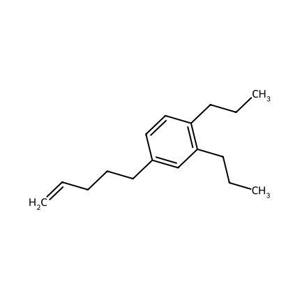 C=CCCCc1ccc(CCC)c(CCC)c1